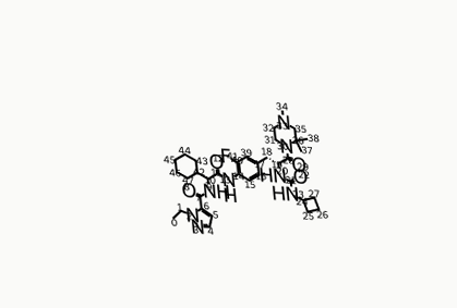 CCn1nccc1C(=O)N[C@H](C(=O)Nc1ccc(C[C@@H](NC(=O)NC2CCC2)C(=O)N2CCN(C)CC2(C)C)cc1F)C1CCCCC1